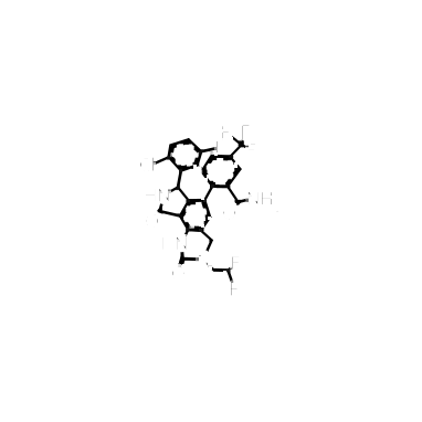 NC(=O)c1cc(C(F)(F)F)cc(F)c1-c1cc2c(c3c1C(c1cc(F)ccc1Cl)NC3=O)NC(=O)N(CC(F)F)C2